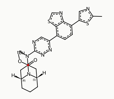 Cc1ncc(-c2ccc(-c3cnc(N(C)C4C[C@H]5CCC[C@@H](C4)N5C(=O)OC(C)(C)C)nn3)c3scnc23)s1